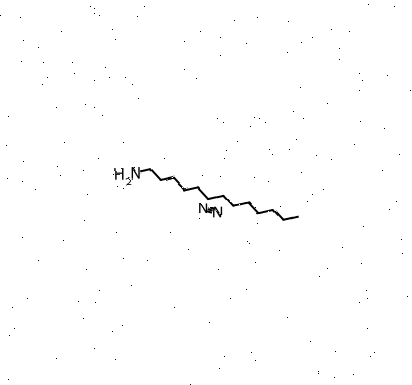 CCCCCCCCCCCCCN.N#N